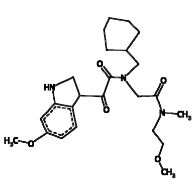 COCCN(C)C(=O)CN(CC1CCCCC1)C(=O)C(=O)C1CNc2cc(OC)ccc21